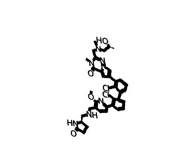 COc1nc(-c2cccc(-c3cccc(-c4cc5c(=O)n(C)c(CN(C)C[C@@H](C)O)nn5c4)c3Cl)c2Cl)ccc1CNC[C@H]1CCC(=O)N1